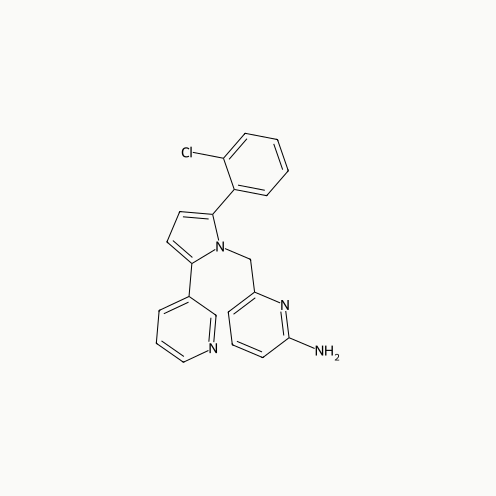 Nc1cccc(Cn2c(-c3cccnc3)ccc2-c2ccccc2Cl)n1